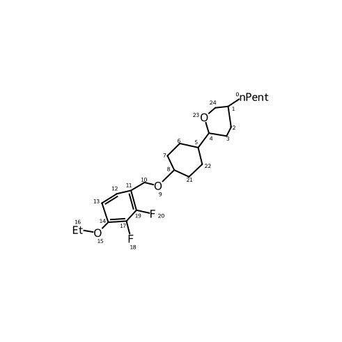 CCCCCC1CCC(C2CCC(OCc3ccc(OCC)c(F)c3F)CC2)OC1